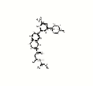 COC(=O)NC(C)CC(=O)N1CCc2ccc(-c3cc(N4CCN(C)CC4)nc(N)n3)cc2C1